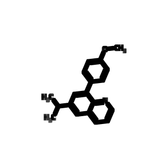 COc1ccc(-c2cc(C(C)C)cc3cccnc23)cc1